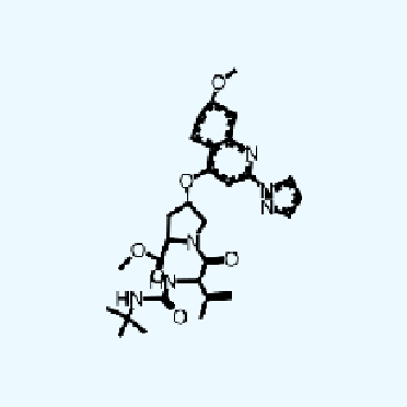 C=C(C)C(NC(=O)NC(C)(C)C)C(=O)N1C[C@H](Oc2cc(-n3cccn3)nc3cc(OC)ccc23)CC1C(=O)OC